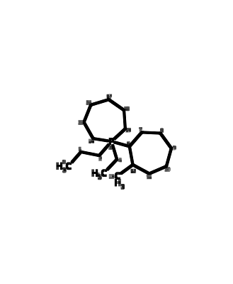 CCCP1(CC)(C2CCCCCC2C)CCCCCC1